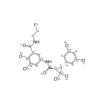 O=C(NCCF)c1cc(NC(=O)[C@H]2[C@H](c3cc(Cl)cc(Cl)c3)C2(Cl)Cl)cc(Cl)c1Cl